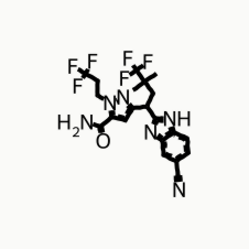 CC(C)(CC(c1cc(C(N)=O)n(CCC(F)(F)F)n1)c1nc2cc(C#N)ccc2[nH]1)C(F)(F)F